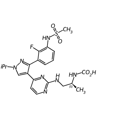 CC(C)n1cc(-c2ccnc(NC[C@H](C)NC(=O)O)n2)c(-c2cccc(NS(C)(=O)=O)c2F)n1